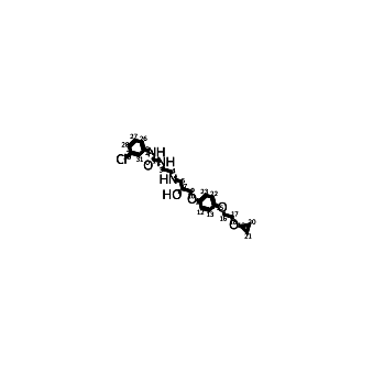 O=C(NCCNCC(O)COc1ccc(OCCOC2CC2)cc1)Nc1cccc(Cl)c1